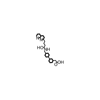 O=C(O)Cc1cccc(-c2ccc(CNC(O)CCCc3ccc4cccnc4n3)cc2)c1